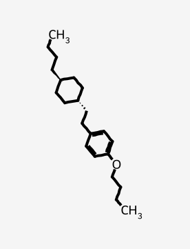 CCCCOc1ccc(CC[C@H]2CC[C@H](CCCC)CC2)cc1